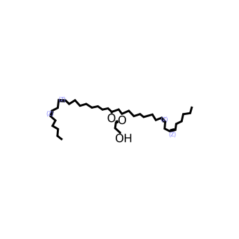 CCCCC/C=C\C/C=C\CCCCCCCCC(CCCCCCCC/C=C\C/C=C\CCCCC)OC(=O)CCO